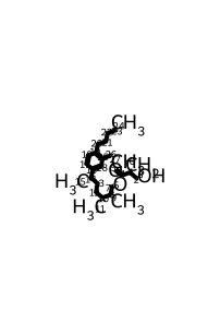 C=C(CO)C(=O)OCC(C)C(C)CCC(C)c1ccc(CCCCC)c(CC)c1